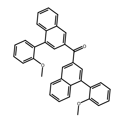 COc1ccccc1-c1cc(C(=O)c2cc(-c3ccccc3OC)c3ccccc3c2)cc2ccccc12